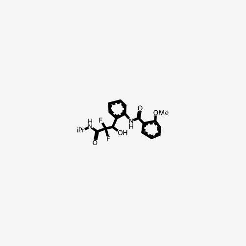 COc1ccccc1C(=O)Nc1ccccc1C(O)C(F)(F)C(=O)NC(C)C